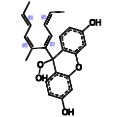 C\C=C/C=C(\C(C)=C/C=C/C)C1(OO)c2ccc(O)cc2Oc2cc(O)ccc21